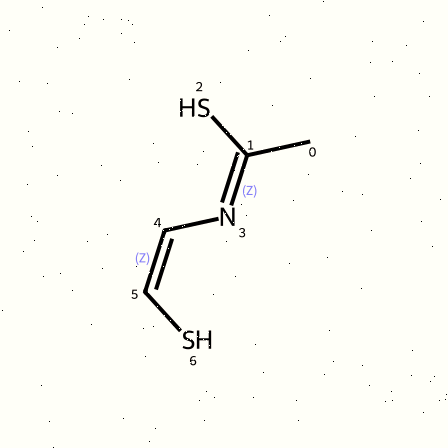 C/C(S)=N/C=C\S